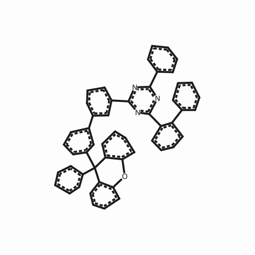 c1ccc(-c2nc(-c3cccc(-c4cccc(C5(c6ccccc6)c6ccccc6Oc6ccccc65)c4)c3)nc(-c3ccccc3-c3ccccc3)n2)cc1